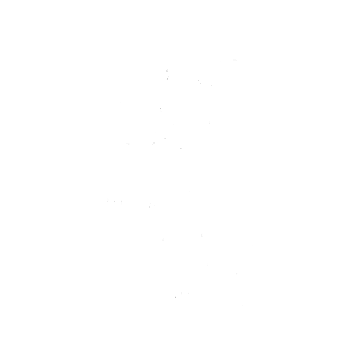 C=C(C)C(=O)OC(C)C(=O)OC1C2OC(=O)C3C2OC1C3C(=O)O